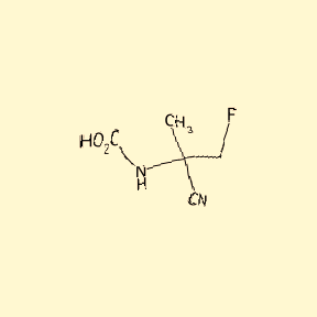 CC(C#N)(CF)NC(=O)O